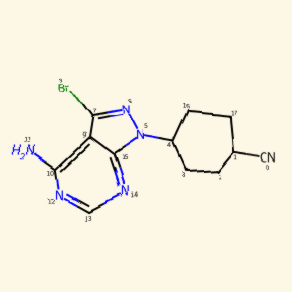 N#CC1CCC(n2nc(Br)c3c(N)ncnc32)CC1